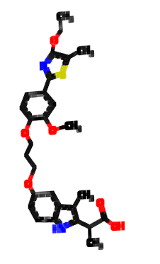 CCOc1nc(-c2ccc(OCCCOc3ccc4[nH]c(C(C)C(=O)O)c(C)c4c3)c(OC)c2)sc1C